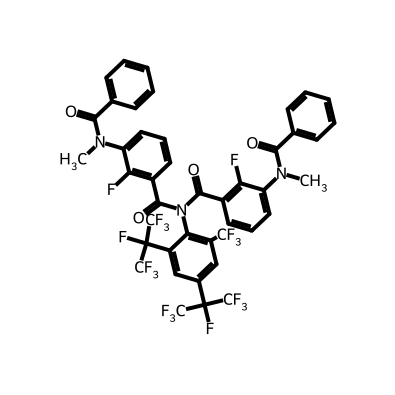 CN(C(=O)c1ccccc1)c1cccc(C(=O)N(C(=O)c2cccc(N(C)C(=O)c3ccccc3)c2F)c2c(C(F)(F)F)cc(C(F)(C(F)(F)F)C(F)(F)F)cc2C(F)(C(F)(F)F)C(F)(F)F)c1F